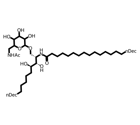 CCCCCCCCCCCCCCCCCCCCCCCCC(=O)N[C@@H](COC1OC(CNC(C)=O)C(O)C(O)C1O)[C@H](O)[C@H](O)CCCCCCCCCCCCCCC